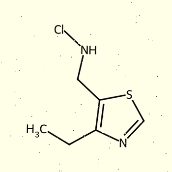 CCc1ncsc1CNCl